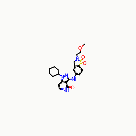 COCCN1Cc2cc(Nc3nn(C4CCCCC4)c4cc[nH]c(=O)c34)ccc2S1(=O)=O